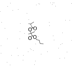 CCCCOC(=O)C(C)(C)OC(=O)C(C)C